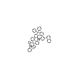 c1ccc(C2(c3ccccc3)c3ccccc3-c3c(N(c4ccc(-c5cccc6ccccc56)cc4)c4cccc5c4-c4ccccc4C54c5ccccc5-n5c6ccccc6c6cccc4c65)cccc32)cc1